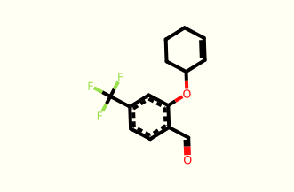 O=Cc1ccc(C(F)(F)F)cc1OC1C=CCCC1